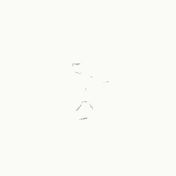 O=C(NCc1ccccc1)C(NCC1CC1)c1cccs1